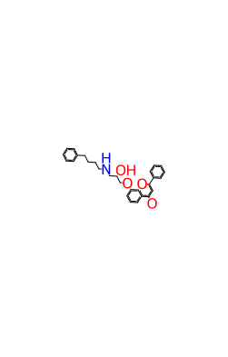 O=c1cc(-c2ccccc2)oc2c(OCC(O)CNCCCCc3ccccc3)cccc12